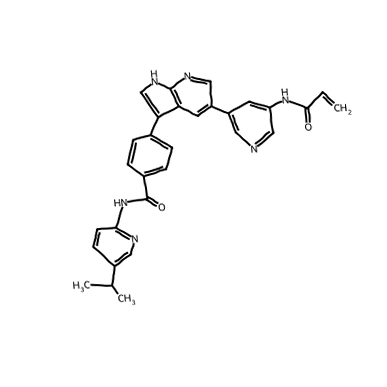 C=CC(=O)Nc1cncc(-c2cnc3[nH]cc(-c4ccc(C(=O)Nc5ccc(C(C)C)cn5)cc4)c3c2)c1